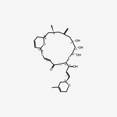 C=C1C[C@H](C)C[C@@H]2CC=C[C@@H](C/C=C/C(=O)O[C@H]([C@@H](O)/C=C/[C@@H]3CC(C)=CCO3)C[C@@H](O)[C@@H](O)[C@@H](O)C1)O2